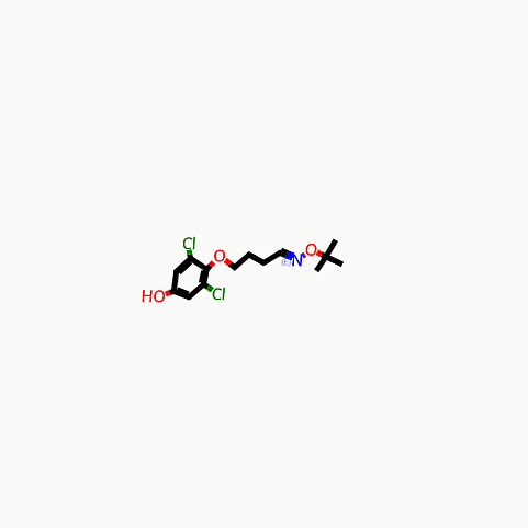 CC(C)(C)O/N=C/CCCOc1c(Cl)cc(O)cc1Cl